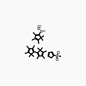 CC1=C(C)C(C)(C)C(C2=C(C)C(C)=C(C)C2(C)C)=C1C.CC1=C(C)C(C)(C)[C]([Zr+2])=C1C.[CH3][Zr]([Cl])([Cl])[C]1=CC=CC1.[Cl-].[Cl-]